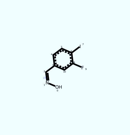 O/N=C\c1ccc(I)c(F)c1